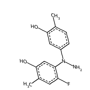 Cc1ccc(N(N)c2cc(O)c(C)cc2F)cc1O